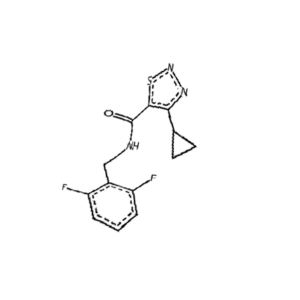 O=C(NCc1c(F)cccc1F)c1snnc1C1CC1